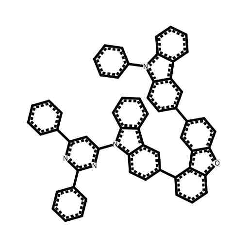 c1ccc(-c2cc(-n3c4ccccc4c4cc(-c5cccc6oc7ccc(-c8ccc9c(c8)c8ccccc8n9-c8ccccc8)cc7c56)ccc43)nc(-c3ccccc3)n2)cc1